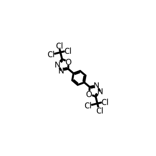 ClC(Cl)(Cl)c1nnc(-c2ccc(-c3nnc(C(Cl)(Cl)Cl)o3)cc2)o1